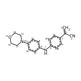 C=C(C#N)c1cnc(Nc2ccc(N3CCOCC3)cc2)nc1